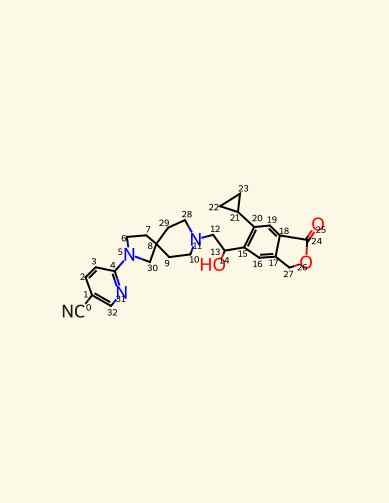 N#Cc1ccc(N2CCC3(CCN(CC(O)c4cc5c(cc4C4CC4)C(=O)OC5)CC3)C2)nc1